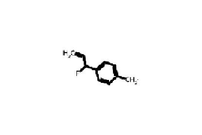 [CH2]c1ccc(C(F)C=C)cc1